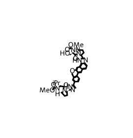 COC(=O)N[C@@H](CO)C(=O)N1C(c2nc3ccc4cc5c(cc4c3[nH]2)OCc2cc(-c3cnc([C@@H]4CC[C@H](C)N4C(=O)[C@@H](NC(=O)OC)C(C)C)[nH]3)ccc2-5)CC[C@@H]1C